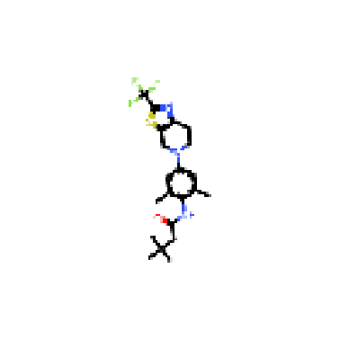 Cc1cc(N2CCc3nc(C(F)(F)F)sc3C2)cc(C)c1NC(=O)CC(C)(C)C